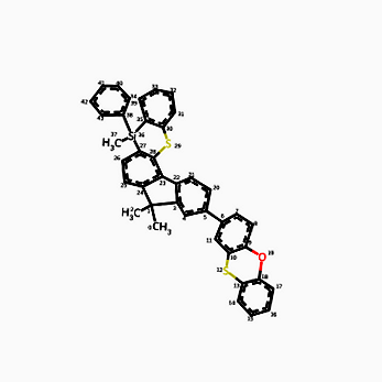 CC1(C)c2cc(-c3ccc4c(c3)Sc3ccccc3O4)ccc2-c2c1ccc1c2Sc2ccccc2[Si]1(C)c1ccccc1